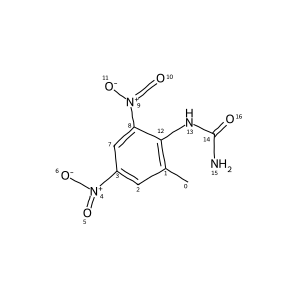 Cc1cc([N+](=O)[O-])cc([N+](=O)[O-])c1NC(N)=O